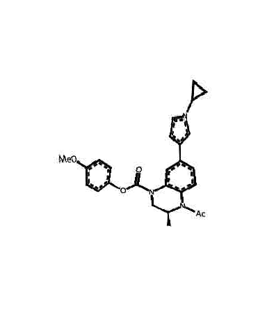 COc1ccc(OC(=O)N2C[C@H](C)N(C(C)=O)c3ccc(-c4ccn(C5CC5)c4)cc32)cc1